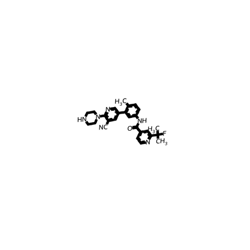 Cc1ccc(NC(=O)c2ccnc(C(C)(C)F)c2)cc1-c1cnc(N2CCNCC2)c(C#N)c1